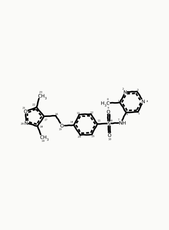 Cc1ncncc1NS(=O)(=O)c1ccc(OCc2c(C)noc2C)cc1